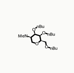 CCCCOC[C@H]1OC[C@@H](NC)[C@@H](OCCCC)[C@H]1OCCCC